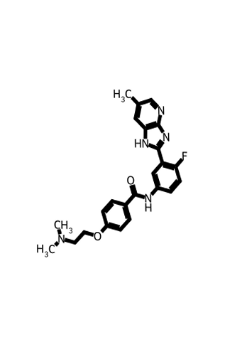 Cc1cnc2nc(-c3cc(NC(=O)c4ccc(OCCN(C)C)cc4)ccc3F)[nH]c2c1